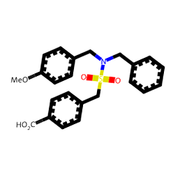 COc1ccc(CN(Cc2ccccc2)S(=O)(=O)Cc2ccc(C(=O)O)cc2)cc1